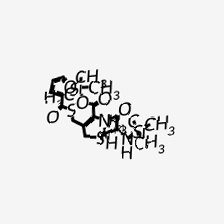 C[Si](C)(C)N[C@@H]1C(=O)N2C(C(=O)O[Si](C)(C)C)=C(CSC(=O)c3ccco3)CS[C@H]12